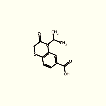 CC(C)N1C(=O)CSc2ccc(C(=O)O)cc21